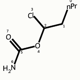 CCCCC(Cl)OC(N)=O